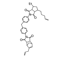 C=CCCCC1CC(CC)C2C(=O)N(c3ccc(Cc4ccc(N5C(=O)C6C7C=C(CC=C)C(C7)C6C5=O)cc4)cc3)C(=O)C12